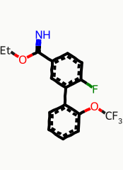 CCOC(=N)c1ccc(F)c(-c2ccccc2OC(F)(F)F)c1